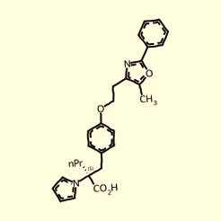 CCC[C@](Cc1ccc(OCCc2nc(-c3ccccc3)oc2C)cc1)(C(=O)O)n1cccc1